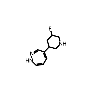 FC1CNCC(C2=CC=CNN=C2)C1